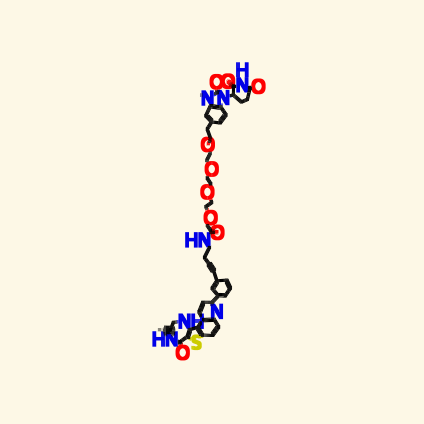 C[C@@H]1CNc2c(sc3ccc4nc(-c5cccc(C#CCCNC(=O)COCCOCCOCCOCCc6ccc7c(c6)n(C)c(=O)n7C6CCC(=O)NC6=O)c5)ccc4c23)C(=O)N1